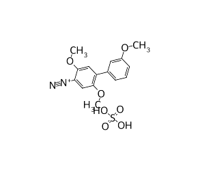 COc1cccc(-c2cc(OC)c([N+]#N)cc2OC)c1.O=S(=O)(O)O